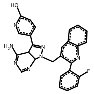 NC1=NC=NC2C1C(c1ccc(O)nc1)=NN2Cc1cc2ccccc2nc1-c1ccccc1F